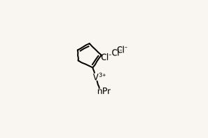 CC[CH2][V+3][C]1=CC=CC1.[Cl-].[Cl-].[Cl-]